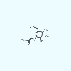 COC(=O)CO[C@H]1O[C@H](COC(C)=O)[C@@H](OC(C)=O)[C@H](OC(C)=O)[C@H]1OC(C)=O